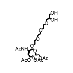 CC(=O)NC1=C[C@@H](OC(C)=O)N(OC(C)=O)[C@@H](COC(C)=O)O[C@H]1OCCOCCOCCOC[C@H](O)CO